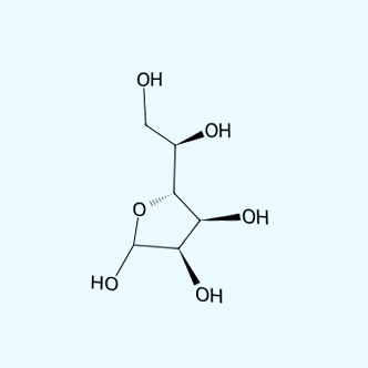 OC[C@@H](O)[C@H]1OC(O)[C@H](O)[C@@H]1O